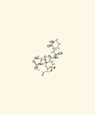 C=CCC1CN(C(=O)[C@H](NC(=O)C(F)(F)F)C(C)(C)C)[C@H](C(=O)N[C@H](C#N)C[C@@H]2CCCNC2=O)CC1(F)F